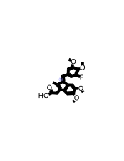 COc1cc2c(cc1OC)/C(=C\c1cc(F)c(OC)c(OC)c1)C(C)=C2CC(=O)O